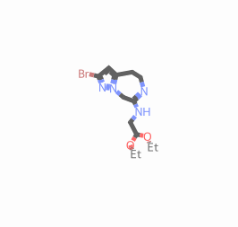 CCOC(CNC1=NCCc2cc(Br)nn2C1)OCC